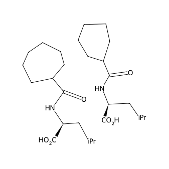 CC(C)C[C@H](NC(=O)C1CCCCC1)C(=O)O.CC(C)C[C@H](NC(=O)C1CCCCCC1)C(=O)O